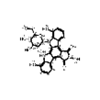 O=C1c2c(c3c4cccc(O)c4n([C@@H]4O[C@H](CO)[C@@H](O)[C@H](O)[C@H]4O)c3c3[nH]c4c(O)cccc4c23)C(=O)N1O